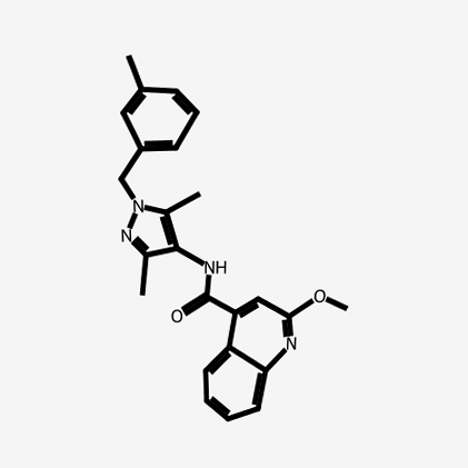 COc1cc(C(=O)Nc2c(C)nn(Cc3cccc(C)c3)c2C)c2ccccc2n1